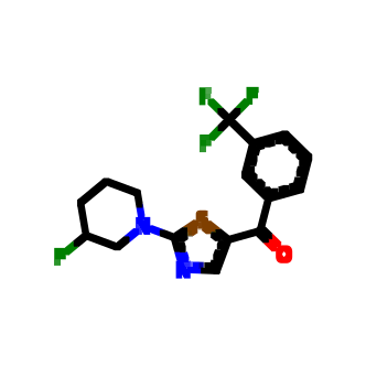 O=C(c1cccc(C(F)(F)F)c1)c1cnc(N2CCCC(F)C2)s1